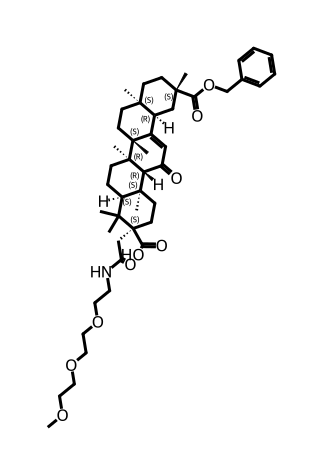 COCCOCCOCCNC(=O)C[C@@]1(C(=O)O)CC[C@@]2(C)[C@H](CC[C@]3(C)[C@@H]2C(=O)C=C2[C@@H]4C[C@@](C)(C(=O)OCc5ccccc5)CC[C@]4(C)CC[C@]23C)C1(C)C